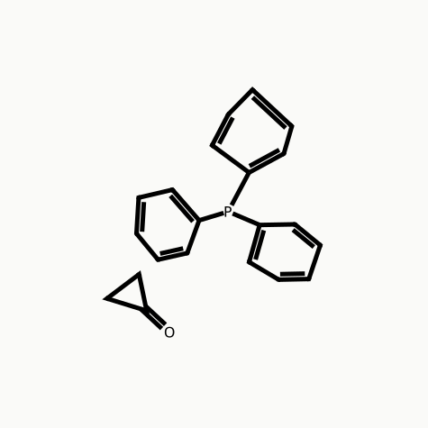 O=C1CC1.c1ccc(P(c2ccccc2)c2ccccc2)cc1